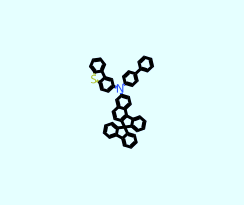 c1ccc(-c2ccc(N(c3ccc4c5c(ccc4c3)C3(c4ccccc4-c4ccccc43)c3ccccc3-5)c3ccc4sc5ccccc5c4c3)cc2)cc1